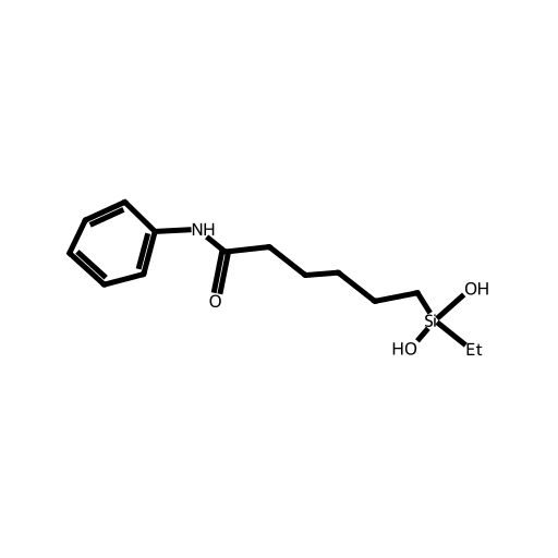 CC[Si](O)(O)CCCCCC(=O)Nc1ccccc1